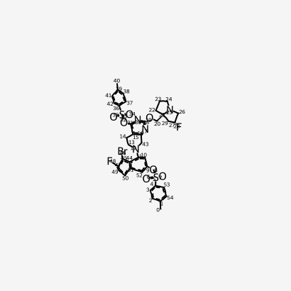 Cc1ccc(S(=O)(=O)Oc2cc(N3CCc4c(nc(OC[C@@]56CCCN5C[C@H](F)C6)nc4OS(=O)(=O)c4ccc(C)cc4)C3)c3c(Br)c(F)ccc3c2)cc1